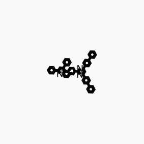 C1=c2ccc3nc(-c4ccccc4)cc(-c4ccccc4)c3c2=CCC1c1nc(-c2ccc(-c3ccccc3)cc2)cc(-c2ccc(-c3ccccc3)cc2)n1